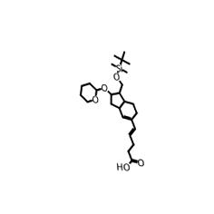 CC(C)(C)[Si](C)(C)OCC1C(OC2CCCCO2)CC2C=C(C=CCCC(=O)O)CCC21